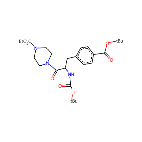 CCOC(=O)N1CCN(C(=O)C(Cc2ccc(C(=O)OC(C)(C)C)cc2)NC(=O)OC(C)(C)C)CC1